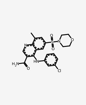 Cc1cc(S(=O)(=O)N2CCOCC2)cc2c(Nc3cccc(Cl)c3)c(C(N)=O)cnc12